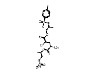 CCC(CC(C(=O)OC(C)CO[SH](=O)=O)C(C)(C)C)C(=O)OCC(C)OS(=O)(=O)c1ccc(C)cc1